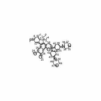 CCC1(CC)c2c(C)cc(F)cc2-c2c1c1c(c3cc(OC)c(OC)cc23)OC(c2ccc(N3CCOCC3)cc2)(c2ccc(N3CCOCC3)cc2)C=C1